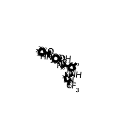 Cc1cc(Nc2nccc(C(F)(F)F)n2)cc(-c2cnc(C3(O)CCC(NC(=O)c4ccccc4)CC3)s2)c1